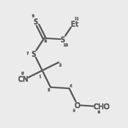 [C-]#[N+]C(C)(CCOC=O)SC(=S)SCC